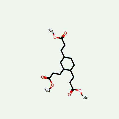 CCC(C)OC(=O)CCC1CCC(CCC(=O)OC(C)CC)C(CCC(=O)OC(C)CC)C1